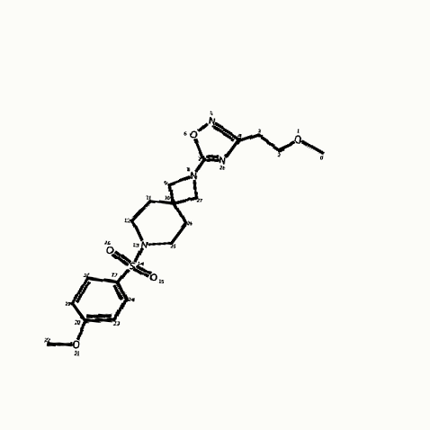 COCCc1noc(N2CC3(CCN(S(=O)(=O)c4ccc(OC)cc4)CC3)C2)n1